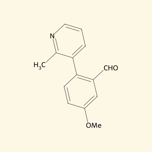 COc1ccc(-c2cccnc2C)c(C=O)c1